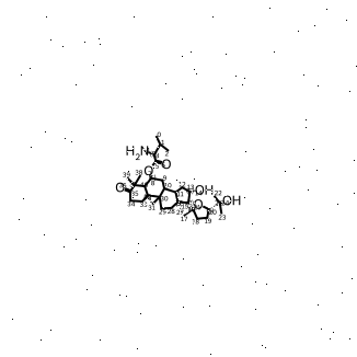 CC(C)[C@H](N)C(=O)O[C@H]1CC2C3C[C@H](O)[C@H]([C@@]4(C)CC[C@@H](C(C)(C)O)O4)[C@@]3(C)CCC23C[C@@]32CCC(=O)C(C)(C)C12